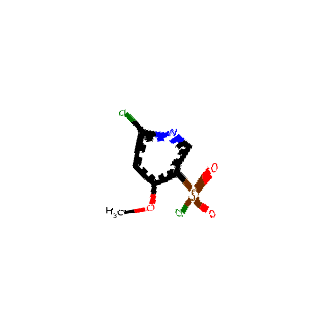 COc1cc(Cl)ncc1S(=O)(=O)Cl